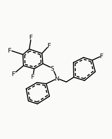 Fc1ccc(CN(Sc2c(F)c(F)c(F)c(F)c2F)c2ccccc2)cc1